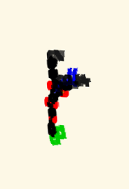 Cc1nc(NCC(C)C)ccc1S(=O)(=O)N1Cc2cc3c(cc2C[C@H]1C(=O)N[C@@H](Cc1ccc(-c2ccc(C#N)cc2)cc1)C(=O)O)OCC(c1ccc(OCc2ccc(Cl)c(Cl)c2)cc1)O3